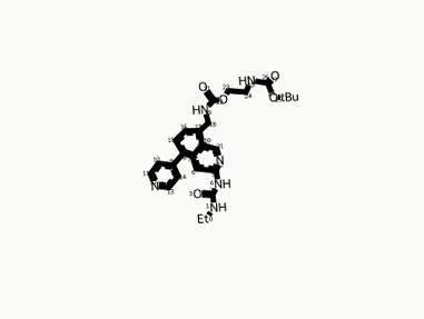 CCNC(=O)Nc1cc2c(-c3ccncc3)ccc(CNC(=O)OCCNC(=O)OC(C)(C)C)c2cn1